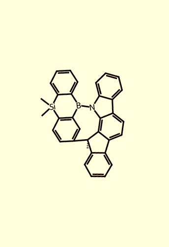 C[C@]12c3ccc4c(c3)B(c3ccccc3[Si]4(C)C)n3c4ccccc4c4ccc(c1c43)-c1ccccc12